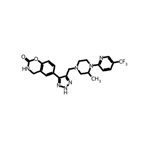 CC1CN(Cc2n[nH]nc2-c2ccc3c(c2)CNC(=O)O3)CCN1c1ccc(C(F)(F)F)cn1